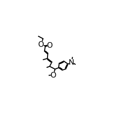 CCOC(=O)/C=C/C(C)=C/C(C)C(OC)c1ccc(N(C)C)cc1